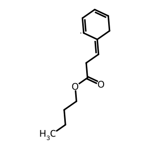 CCCCOC(=O)CC=C1[C]=CC=CC1